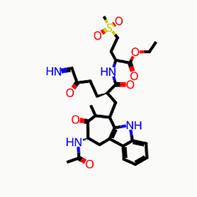 CCOC(=O)C(CCS(C)(=O)=O)NC(=O)[C@H](CCC(=O)C=N)CC1c2[nH]c3ccccc3c2C[C@H](NC(C)=O)C(=O)C1C